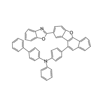 c1ccc(-c2ccc(N(c3ccccc3)c3ccc(-c4cc5ccccc5c5oc6ccc(-c7nc8ccccc8o7)cc6c45)cc3)cc2)cc1